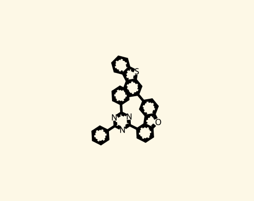 c1ccc(-c2nc(-c3ccccc3)nc(-c3cccc4oc5ccc(-c6ccc7c(c6)sc6ccccc67)cc5c34)n2)cc1